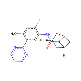 Cc1cc(F)c(NC(=O)N2C3C[C@H](C)C[C@@H]2C3)cc1-c1ncccn1